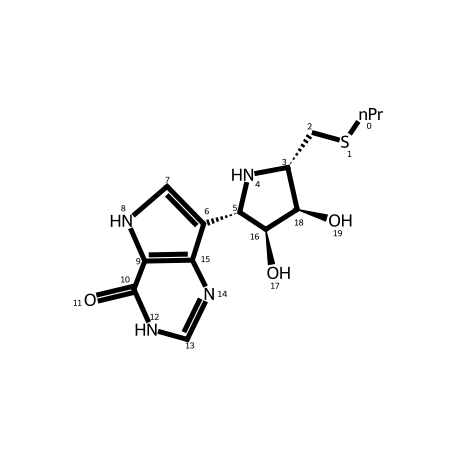 CCCSC[C@H]1N[C@@H](c2c[nH]c3c(=O)[nH]cnc23)[C@H](O)[C@@H]1O